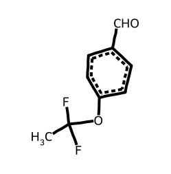 CC(F)(F)Oc1ccc(C=O)cc1